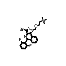 C[Si](C)(C)CCOCn1nc(Br)c2nc(-c3c(F)cccc3F)c3ccccc3c21